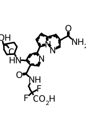 NC(=O)c1cnn2c(-c3cc(NC45CCC(O)(CC4)CC5)c(C(=O)NCC(F)(F)C(=O)O)cn3)ccc2c1